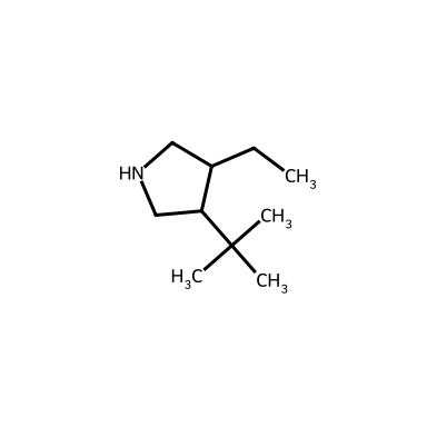 CCC1CNCC1C(C)(C)C